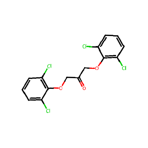 O=C(COc1c(Cl)cccc1Cl)COc1c(Cl)cccc1Cl